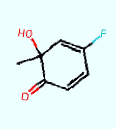 CC1(O)C=C(F)C=CC1=O